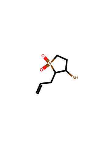 C=CCC1C(S)CCS1(=O)=O